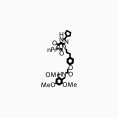 CCCn1c(=O)c2[nH]c(C3CCCC3)nc2n(CCCc2ccc(OCC(=O)NCc3c(OC)cc(OC)cc3OC)cc2)c1=O